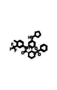 Cc1ccc(NC(=O)[C@H]2CCCN(S(=O)(=O)c3ccccc3)[C@H]2c2ccc(NC3CCCC3)cc2)cc1C(F)(F)F